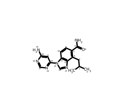 CC(C)Cc1c(C(N)=O)ccc2c1ncn2-c1cc(N)ncn1